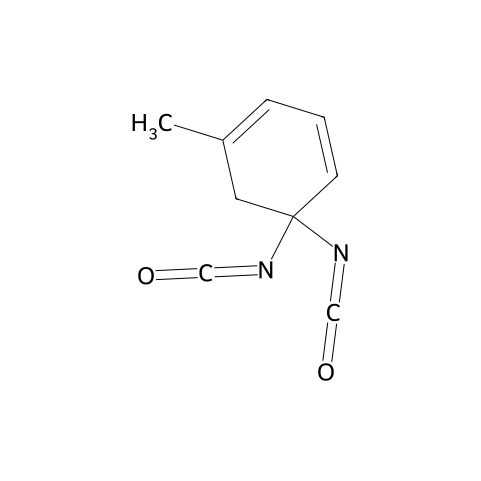 CC1=CC=CC(N=C=O)(N=C=O)C1